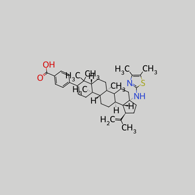 C=C(C)[C@@H]1CC[C@]2(Nc3nc(C)c(C)s3)CCC3[C@H](CC[C@@H]4[C@@]5(C)CC=C(c6ccc(C(=O)O)cc6)C(C)(C)[C@@H]5CC[C@@]34C)[C@@H]12